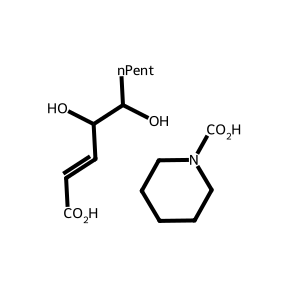 CCCCCC(O)C(O)C=CC(=O)O.O=C(O)N1CCCCC1